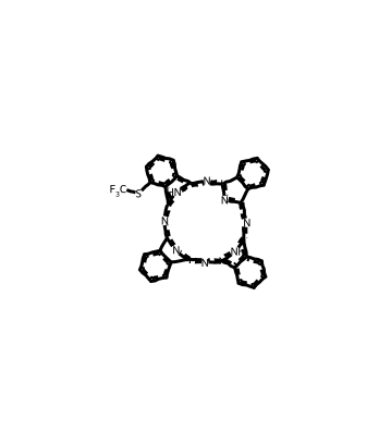 FC(F)(F)Sc1cccc2c3nc4nc(nc5[nH]c(nc6nc(nc([nH]3)c12)-c1ccccc1-6)c1ccccc51)-c1ccccc1-4